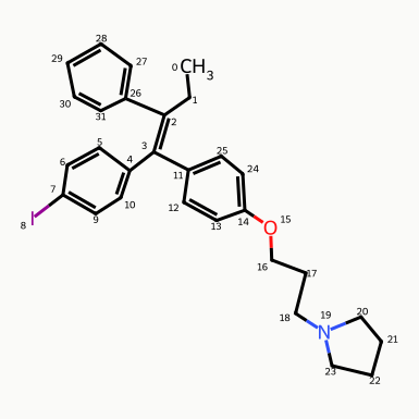 CC/C(=C(/c1ccc(I)cc1)c1ccc(OCCCN2CCCC2)cc1)c1ccccc1